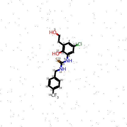 OCCc1cc(Cl)cc(NC(=S)NCc2ccc(C(F)(F)F)cc2)c1O